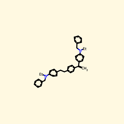 C=C(c1ccc(CCc2ccc(N(CC)Cc3ccccc3)cc2)cc1)c1ccc(N(CC)Cc2ccccc2)cc1